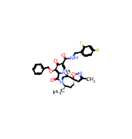 CC1=NO[C@@]2(CC[C@H](C)N3C[C@H]2n2cc(C(=O)NCc4ccc(F)cc4F)c(=O)c(OCc4ccccc4)c2C3=O)C1